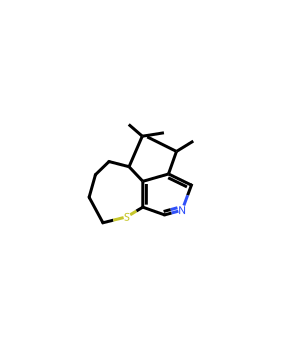 CC(C)c1cncc2c1C(C(C)C)CCCCS2